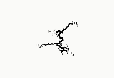 CCCCCCCCc1cc(C)sc1-c1ccc(-c2sc(C3=C4C(=O)SC(C)=C4C(=S)S3)cc2CCCCCCCC)s1